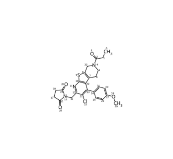 CCC(=O)N1CCc2c(sc3nc(CN4C(=O)CCC4=O)c(Cl)c(-c4ccc(OC)cc4)c23)C1